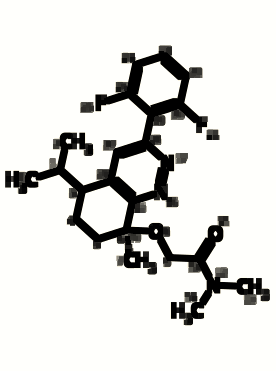 CC(C)C1CC[C@](C)(OCC(=O)N(C)C)c2nnc(-c3c(F)cccc3F)cc21